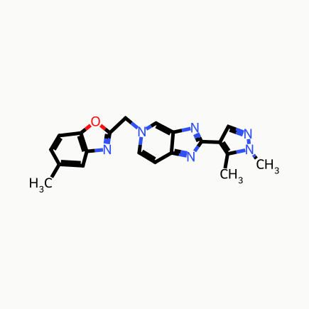 Cc1ccc2oc(Cn3ccc4nc(-c5cnn(C)c5C)nc-4c3)nc2c1